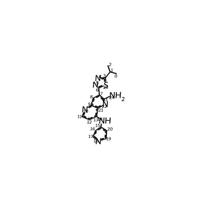 CC(C)c1nnc(-c2cc3nccc(Nc4ccncc4)c3nc2N)s1